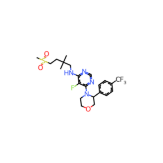 CC(C)(CCS(C)(=O)=O)CNc1ncnc(N2CCOCC2c2ccc(C(F)(F)F)cc2)c1F